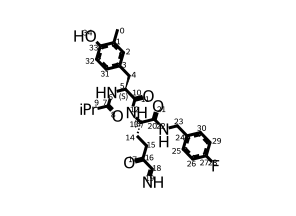 Cc1cc(C[C@H](NC(=O)C(C)C)C(=O)N[C@@H](CCC(=O)C=N)C(=O)NCc2ccc(F)cc2)ccc1O